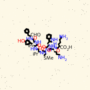 CSCC[C@@H](NC(=O)[C@@H](Cc1c[nH]c2ccccc12)NC(=O)[C@@H](CCCCN)NC(=O)[C@@H](CCCCN)C(=O)O)C(=O)N[C@@H](C(=O)NC(C(=O)N[C@H](Cc1ccc(O)cc1)C(=O)N[C@@H](C=O)Cc1ccccc1)C(C)C)C(C)C